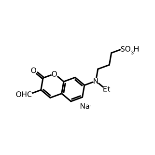 CCN(CCCS(=O)(=O)O)c1ccc2cc(C=O)c(=O)oc2c1.[Na]